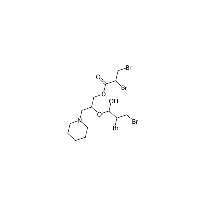 O=C(OCC(CN1CCCCC1)OC(O)C(Br)CBr)C(Br)CBr